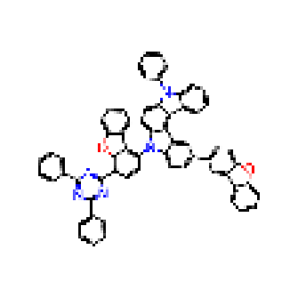 c1ccc(-c2nc(-c3ccccc3)nc(-c3ccc(-n4c5ccc(-c6ccc7oc8ccccc8c7c6)cc5c5c6c7ccccc7n(-c7ccccc7)c6ccc54)c4c3oc3ccccc34)n2)cc1